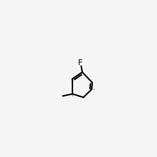 C[C]1C=C(F)C=[C]C1